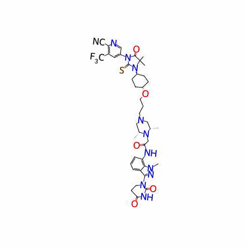 C[C@@H]1CN(CCCO[C@H]2CC[C@H](N3C(=S)N(c4cnc(C#N)c(C(F)(F)F)c4)C(=O)C3(C)C)CC2)C[C@H](C)N1CC(=O)Nc1cccc2c(N3CCC(=O)NC3=O)nn(C)c12